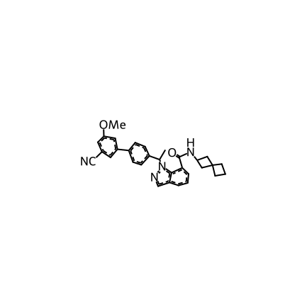 COc1cc(C#N)cc(-c2ccc(C(C)n3ncc4cccc(C(=O)NC5CC6(CCC6)C5)c43)cc2)c1